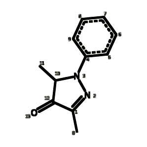 CC1=NN(c2ccccc2)C(C)C1=O